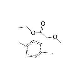 CCOC(=O)COC.Cc1ccc(C)cc1